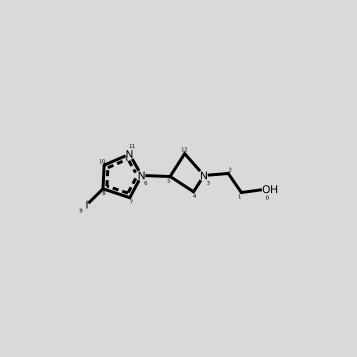 OCCN1CC(n2cc(I)cn2)C1